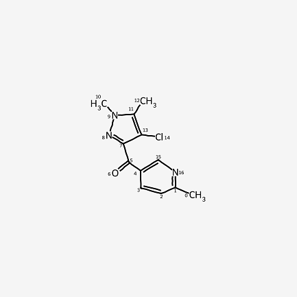 Cc1ccc(C(=O)c2nn(C)c(C)c2Cl)cn1